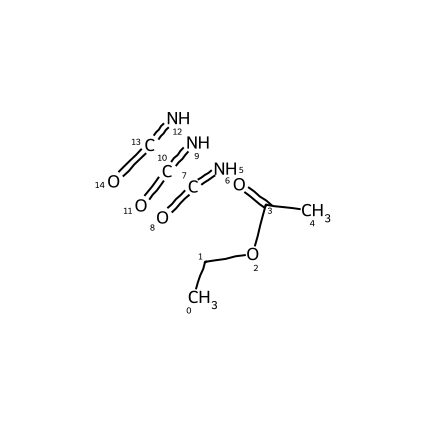 CCOC(C)=O.N=C=O.N=C=O.N=C=O